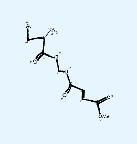 COC(=O)/C=C/C(=O)OCOC(=O)[C@@H](N)CC(C)=O